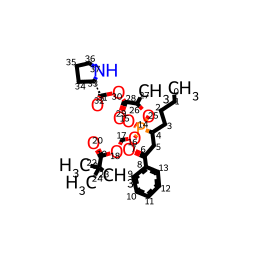 CCCCC(CC(=O)c1ccccc1)P(=O)(OCOC(=O)C(C)(C)C)OC(C)C(=O)OC(=O)[C@@H]1CCCN1